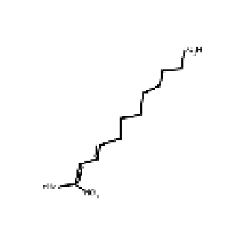 CCCCCCC(=CC=CCCCCCCCC(=O)O)[N+](=O)[O-]